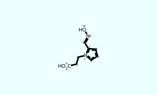 O=C(O)CCn1cccc1C=NO